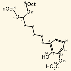 CCCCCCCCOC(CCCCCc1cccc(OC(=O)O)c1O)OCCCCCCCC